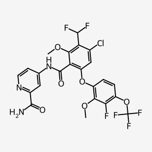 COc1c(Oc2cc(Cl)c(C(F)F)c(OC)c2C(=O)Nc2ccnc(C(N)=O)c2)ccc(OC(F)(F)F)c1F